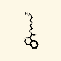 NCCOCCOC(=O)C1NCCc2ccccc21